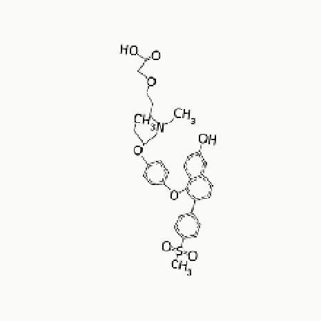 CCC(CN(CC)CCCOCC(=O)O)Oc1ccc(Oc2c(-c3ccc(S(C)(=O)=O)cc3)ccc3cc(O)ccc23)cc1